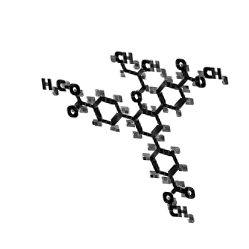 CCC(C)COc1c(-c2ccc(C(=O)OC)cc2)cc(-c2ccc(C(=O)OC)cc2)cc1-c1ccc(C(=O)OC)cc1